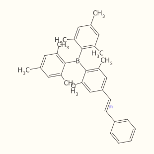 Cc1cc(C)c(B(c2c(C)cc(C)cc2C)c2c(C)cc(/C=C/c3ccccc3)cc2C)c(C)c1